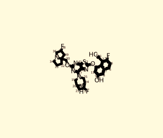 C#Cc1c(F)ccc2cc(O)cc(Oc3nc4c(N5CC6CC(F)C(C5)N6)nc(OCC56CCCN5CC(F)C6)nc4s3)c12